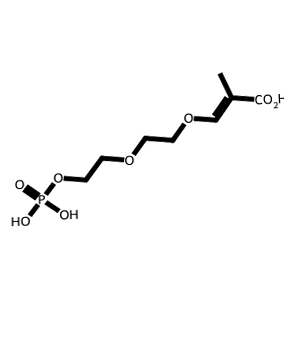 CC(=COCCOCCOP(=O)(O)O)C(=O)O